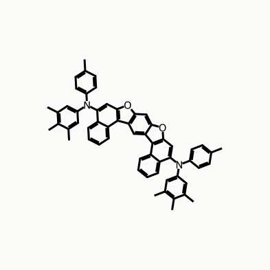 Cc1ccc(N(c2cc(C)c(C)c(C)c2)c2cc3oc4cc5oc6cc(N(c7ccc(C)cc7)c7cc(C)c(C)c(C)c7)c7ccccc7c6c5cc4c3c3ccccc23)cc1